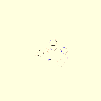 Cc1ccc(S(=O)(=O)n2cc(-c3ncc(F)c(NC4CCC[C@@](O)(CC#N)C4)n3)c3cc(F)cnc32)cc1